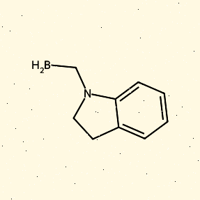 BCN1CCc2ccccc21